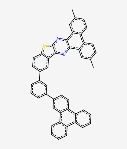 Cc1ccc2c3ccc(C)cc3c3nc4c(nc3c2c1)sc1ccc(-c2cccc(-c3ccc5c6ccccc6c6ccccc6c5c3)c2)cc14